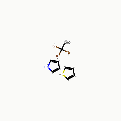 O=CC(Br)(Br)Br.c1cc[nH]c1.c1ccsc1